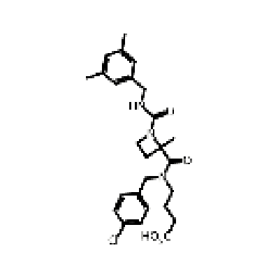 Cc1cc(C)cc(CNC(=O)N2CCC2(C)C(=O)N(CCCC(=O)O)Cc2ccc(Cl)cc2)c1